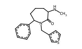 CNC1CCCC(c2ccccc2)N(Cc2ccsc2)C1=O